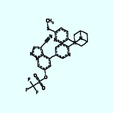 CSc1ccc(CN2C3CC2CN(c2ccc(-c4cc(OS(=O)(=O)C(F)(F)F)cn5ncc(C#N)c45)cn2)C3)cn1